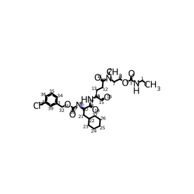 CCNC(=O)OCCN(C)C(=O)CC[C@@H](C=O)NC(=O)/C(CC1CCCCC1)=N/C(=O)OCc1cccc(Cl)c1